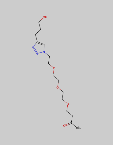 CCCCC(=O)CCOCCOCCOCCn1cc(CCCO)nn1